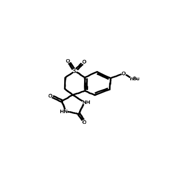 CCCCOc1ccc2c(c1)S(=O)(=O)CCC21NC(=O)NC1=O